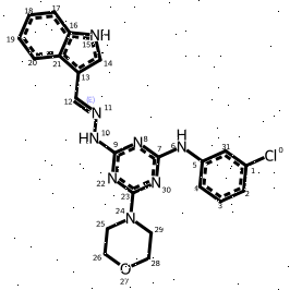 Clc1cccc(Nc2nc(N/N=C/c3c[nH]c4ccccc34)nc(N3CCOCC3)n2)c1